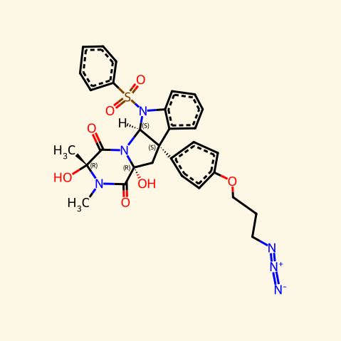 CN1C(=O)[C@]2(O)C[C@]3(c4ccc(OCCCN=[N+]=[N-])cc4)c4ccccc4N(S(=O)(=O)c4ccccc4)[C@@H]3N2C(=O)[C@@]1(C)O